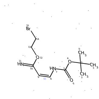 CC(C)(C)OC(=O)N/C=C\C(=N)OCCBr